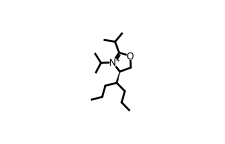 CCCC(CCC)[C@@H]1COC(C(C)C)=[N+]1C(C)C